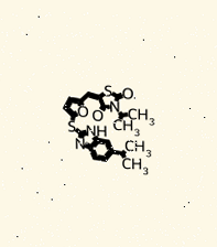 CC(C)c1ccc2nc(Sc3ccc(C=C4SC(=O)N(C(C)C)C4=O)o3)[nH]c2c1